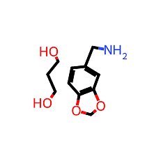 NCc1ccc2c(c1)OCO2.OCCCO